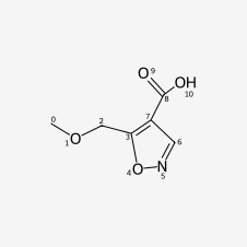 COCc1oncc1C(=O)O